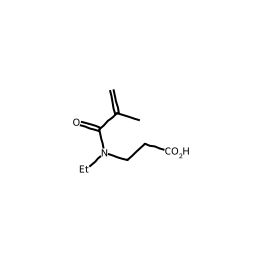 C=C(C)C(=O)N(CC)CCC(=O)O